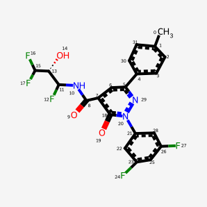 Cc1ccc(-c2cc(C(=O)NC(F)[C@@H](O)C(F)F)c(=O)n(-c3cc(F)cc(F)c3)n2)cc1